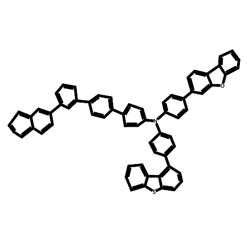 c1cc(-c2ccc(-c3ccc(N(c4ccc(-c5ccc6c(c5)oc5ccccc56)cc4)c4ccc(-c5cccc6sc7ccccc7c56)cc4)cc3)cc2)cc(-c2ccc3ccccc3c2)c1